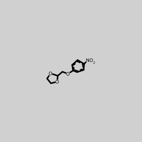 O=[N+]([O-])c1ccc(OCC2OCCO2)cc1